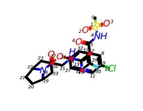 CS(=O)(=O)NC(=O)c1cc(Cl)cnc1NCC(=O)N1C2CCC1CC(Oc1ccc(F)cc1)C2